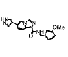 COc1cccc(CNC(=O)c2ncn3cc(-c4cn[nH]c4)ccc23)c1